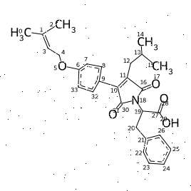 CC(C)=CCOc1ccc(C2=C(CC(C)C)C(=O)N(C(Cc3ccccc3)C(=O)O)C2=O)cc1